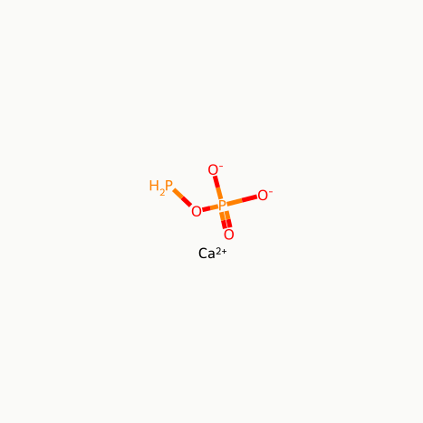 O=P([O-])([O-])OP.[Ca+2]